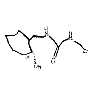 CCNC(=O)NC1CCC[C@H]1O